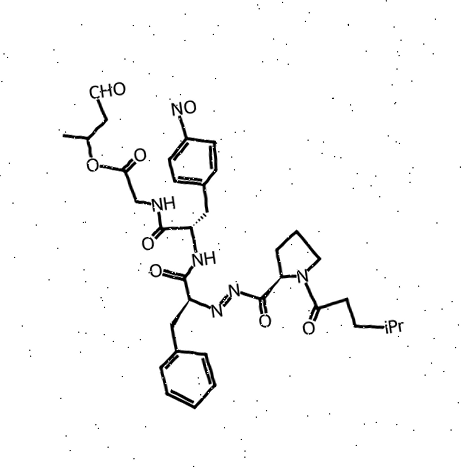 CC(C)CCC(=O)N1CCC[C@@H]1C(=O)N=N[C@@H](Cc1ccccc1)C(=O)N[C@@H](Cc1ccc(N=O)cc1)C(=O)NCC(=O)OC(C)CC=O